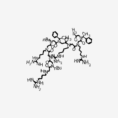 CCCCN(CC(=O)NCC(=O)N(CCCCNC(=N)N)CC(=O)N(CCCC)CC(=O)N(CC(=O)N(CCCCNC(=N)N)CC(=O)N(CCCCNC(=N)N)CC(=O)N(CC(N)=O)[C@@H](C)c1ccccc1)[C@H](C)c1ccccc1)C(=O)CNCCCCNC(=N)N